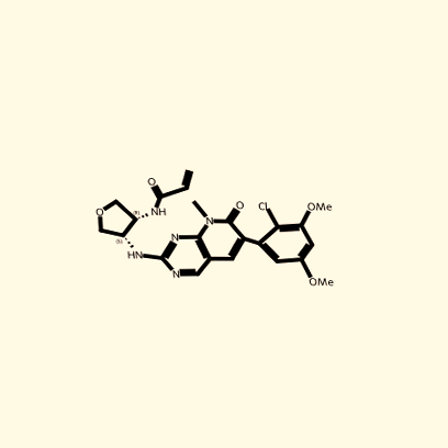 C=CC(=O)N[C@H]1COC[C@H]1Nc1ncc2cc(-c3cc(OC)cc(OC)c3Cl)c(=O)n(C)c2n1